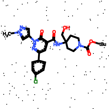 Cn1cc(-n2nc(-c3ccc(Cl)cc3)cc(C(=O)NC3(CO)CCN(C(=O)OC(C)(C)C)CC3)c2=O)cn1